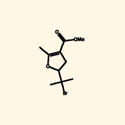 COC(=O)C1=C(C)OC(C(C)(C)Br)C1